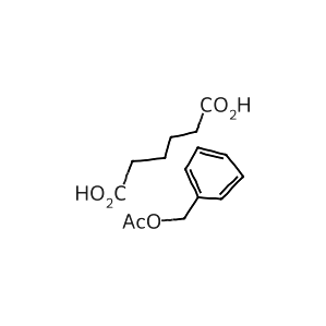 CC(=O)OCc1ccccc1.O=C(O)CCCCC(=O)O